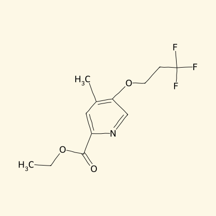 CCOC(=O)c1cc(C)c(OCCC(F)(F)F)cn1